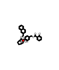 O=C(OCc1ccc(C2CC3CCC(C2OCc2ccc4ccccc4c2)N3C(=O)O)cc1)c1ccccc1Cl